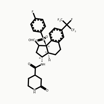 O=CC1C[C@@H](NC(=O)C2CCNC(=O)C2)[C@@H]2CCc3cc(C(F)(C(F)(F)F)C(F)(F)F)ccc3[C@@]12S(=O)(=O)c1ccc(F)cc1